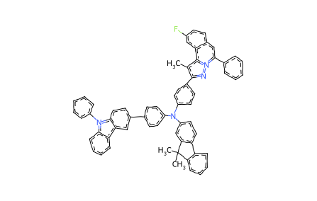 Cc1c(-c2ccc(N(c3ccc(-c4ccc5c(c4)c4ccccc4n5-c4ccccc4)cc3)c3ccc4c(c3)C(C)(C)c3ccccc3-4)cc2)nn2c(-c3ccccc3)cc3ccc(F)cc3c12